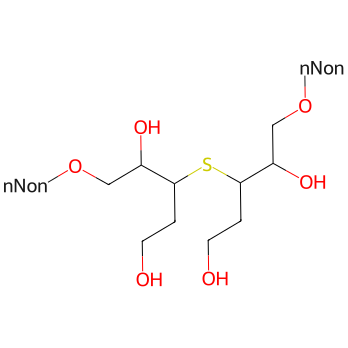 CCCCCCCCCOCC(O)C(CCO)SC(CCO)C(O)COCCCCCCCCC